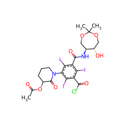 CC(=O)OC1CCCN(c2c(I)c(C(=O)Cl)c(I)c(C(=O)N[C@H]3COC(C)(C)OC[C@@H]3O)c2I)C1=O